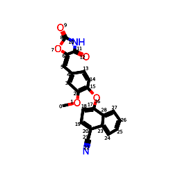 COc1cc(/C=C2/OC(=O)NC2=O)ccc1Oc1ccc(C#N)c2ccccc12